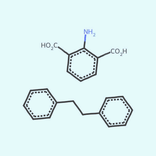 Nc1c(C(=O)O)cccc1C(=O)O.c1ccc(CCc2ccccc2)cc1